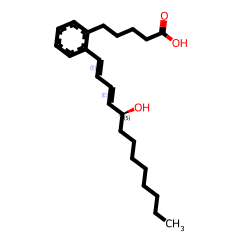 CCCCCCCC[C@H](O)/C=C/C=C/c1ccccc1CCCCC(=O)O